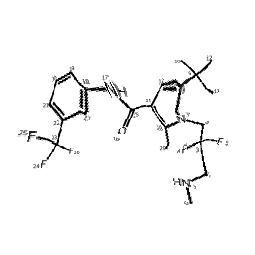 CNCC(F)(F)Cn1c(C(C)(C)C)cc(C(=O)Nc2cccc(C(F)(F)F)c2)c1C